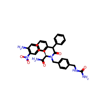 NC(=O)NCc1ccc(CN(C(=O)C(c2ccccc2)c2ccccc2)[C@H](Cc2ccc(N)c([N+](=O)[O-])c2)C(N)=O)cc1